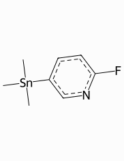 [CH3][Sn]([CH3])([CH3])[c]1ccc(F)nc1